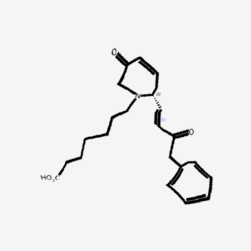 O=C(O)CCCCCCN1CC(=O)C=C[C@@H]1/C=C/C(=O)Cc1ccccc1